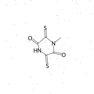 CN1C(=O)C(=S)NC(=O)C1=S